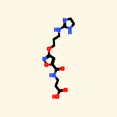 O=C(O)CCNC(=O)c1cc(OCCCNC2=NCCN2)no1